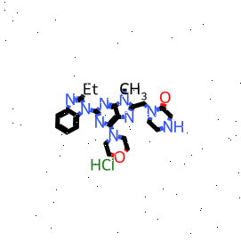 CCc1nc2ccccc2n1-c1nc(N2CCOCC2)c2nc(CN3CCNCC3=O)n(C)c2n1.Cl